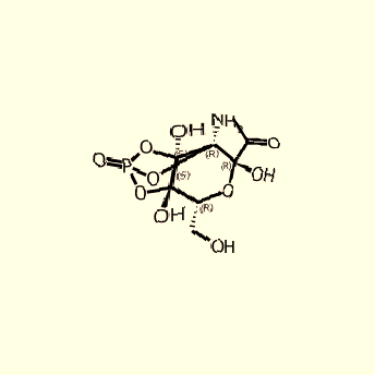 CC(=O)[C@]1(O)O[C@H](CO)[C@]2(O)OP3(=O)O[C@@]1(N)[C@]2(O)O3